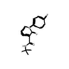 CC(C)(C)NC(=O)c1cccn(-c2ccc(F)cc2)c1=O